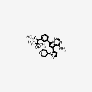 CC(C)(O)C(C(=O)O)c1cccc(-c2cc(-c3ccnn3C3CCOCC3)c3c(N)ncnn23)c1